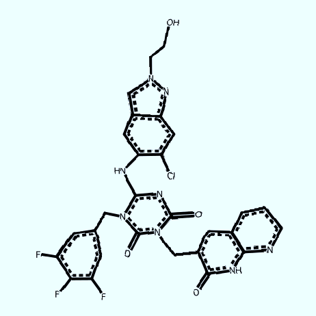 O=c1[nH]c2ncccc2cc1Cn1c(=O)nc(Nc2cc3cn(CCO)nc3cc2Cl)n(Cc2cc(F)c(F)c(F)c2)c1=O